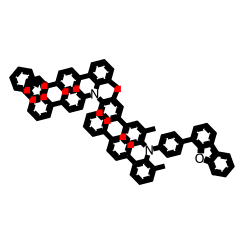 Cc1cc(-c2ccc(N(c3ccc(-c4cccc5c4oc4ccccc45)cc3)c3c(C)cccc3-c3ccc(-c4ccccc4)cc3)c(C)c2)ccc1N(c1ccc(-c2cccc3c2oc2ccccc23)cc1)c1c(C)cccc1-c1ccc(-c2ccccc2)cc1